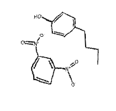 CCCCc1ccc(O)cc1.O=[N+]([O-])c1cccc([N+](=O)[O-])c1